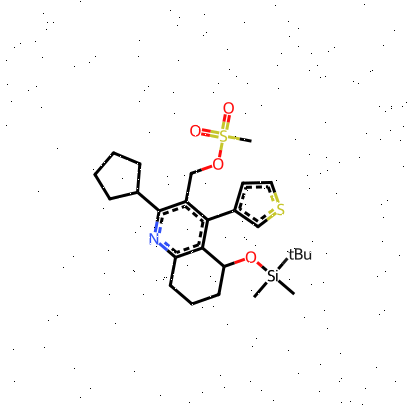 CC(C)(C)[Si](C)(C)OC1CCCc2nc(C3CCCC3)c(COS(C)(=O)=O)c(-c3ccsc3)c21